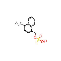 Cc1ccc(COS(=O)(O)=S)c2ccccc12